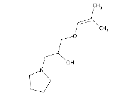 CC(C)=COCC(O)CN1CCCC1